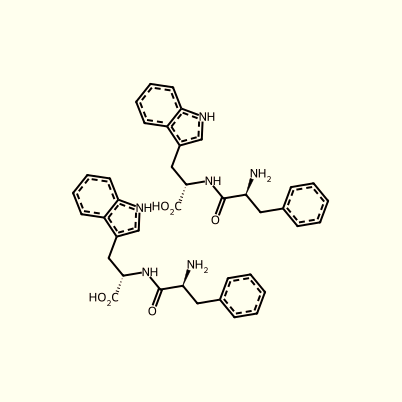 N[C@@H](Cc1ccccc1)C(=O)N[C@@H](Cc1c[nH]c2ccccc12)C(=O)O.N[C@@H](Cc1ccccc1)C(=O)N[C@@H](Cc1c[nH]c2ccccc12)C(=O)O